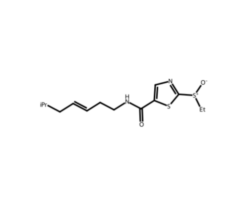 CC[S+]([O-])c1ncc(C(=O)NCC/C=C/CC(C)C)s1